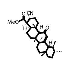 COC(=O)[C@@]1(C)[C@H](C#N)CC[C@@]2(C)[C@H]1CC[C@]1(C)[C@@H]2C(=O)C=C2[C@@H]3[C@@H](C)[C@H](C)CC[C@]3(C)CC[C@]21C